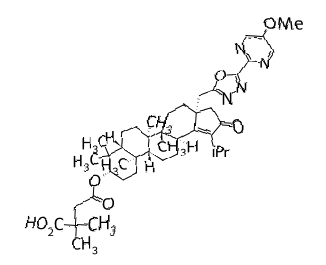 COc1cnc(-c2nnc(C[C@@]34CC[C@]5(C)[C@H](CC[C@@H]6[C@@]7(C)CC[C@H](OC(=O)CC(C)(C)C(=O)O)C(C)(C)[C@@H]7CC[C@]65C)C3=C(C(C)C)C(=O)C4)o2)nc1